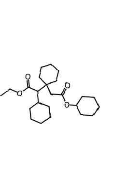 CCOC(=O)C(C1CCCCC1)C1(CC(=O)OC2CCCCC2)CCCCC1